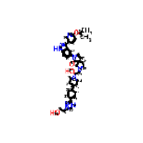 CC(C)Oc1ccc(-c2n[nH]c3ccc(N4CC[C@]5(CCN(CC(O)N6CC=C(c7ccc(-c8ncn(CCO)n8)cc7)CC6)C5)C4=O)cc23)cn1